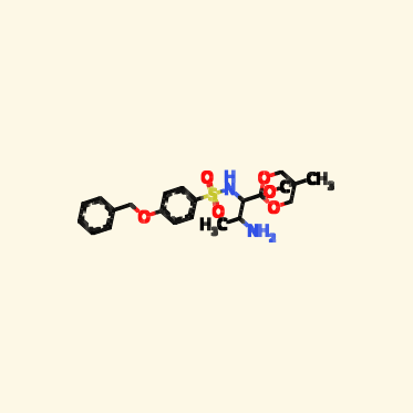 CC(N)C(NS(=O)(=O)c1ccc(OCc2ccccc2)cc1)C12OCC(C)(CO1)CO2